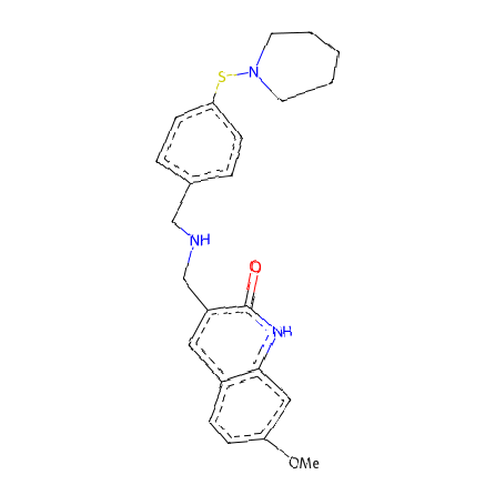 COc1ccc2cc(CNCc3ccc(SN4CCCCC4)cc3)c(=O)[nH]c2c1